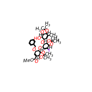 COC(=O)C1=C[C@H](OCc2ccccc2)[C@@H](O[C@H]2C=C(I)[C@H]3OC(C)(C)O[C@H]3[C@@H]2O[C@H]2C=C(C)[C@H]3OC(C)(C)O[C@H]3[C@@H]2O)[C@@H]2OC(C)(C)O[C@H]12